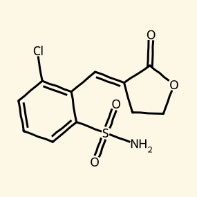 NS(=O)(=O)c1cccc(Cl)c1C=C1CCOC1=O